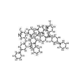 Cc1ccc(C(c2ccc(-c3ccccc3)cc2)c2cc3c(c4c2sc2ccccc24)-c2ccc(N(c4ccc(-c5ccccc5)cc4)c4ccc(C)nc4)cc2C32c3ccccc3-c3ccccc32)cn1